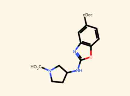 CCCCCCCCCCc1ccc2oc(NC3CCN(C(=O)O)C3)nc2c1